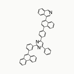 c1ccc(-c2cc(-c3ccc(-c4ccc(-c5cncc6ccccc56)c5ccccc45)cc3)nc(-c3cccc(-c4cc5ccccc5c5ccccc45)c3)n2)cc1